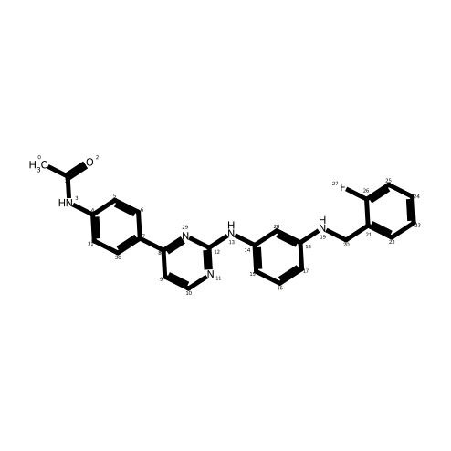 CC(=O)Nc1ccc(-c2ccnc(Nc3cccc(NCc4ccccc4F)c3)n2)cc1